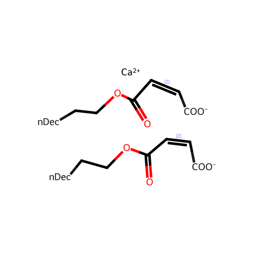 CCCCCCCCCCCCOC(=O)/C=C\C(=O)[O-].CCCCCCCCCCCCOC(=O)/C=C\C(=O)[O-].[Ca+2]